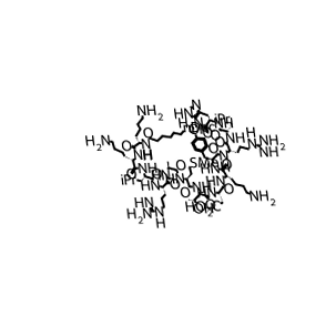 CCCCCCCCCCCCCCCC(=O)N[C@@H](CCCCN)C(=O)N[C@@H](CCCCN)C(=O)N[C@@H](CC(C)C)C(=O)N[C@@H](CCCNC(=N)N)C(=O)N[C@@H](C)C(=O)N[C@@H](CCSC)C(=O)N[C@H](C(=O)N[C@@H](CC(=O)O)C(=O)N[C@@H](CCCCN)C(=O)N[C@@H](Cc1ccc(O)cc1)C(=O)N[C@@H](CCCNC(=N)N)C(=O)N[C@@H](CC(C)C)C(=O)N[C@@H](Cc1c[nH]cn1)C(N)=O)[C@@H](C)O